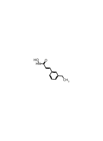 CCc1cccc(/C=C/C(=O)NO)c1